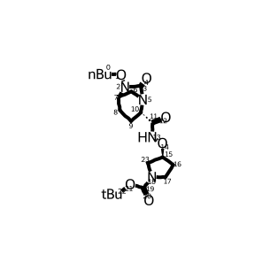 CCCCON1C(=O)N2CC1CC[C@H]2C(=O)NO[C@H]1CCN(C(=O)OC(C)(C)C)C1